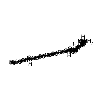 [N-]=[N+]=NCCOCCOCCOCCOCCC(=O)NCCOCCOCCOCCOCCOCCOCCOCCOCCOCCOCCOCCNC(=O)CC[C@H](NC(=O)c1ccc(NCc2cnc3nc(N)[nH]c(=O)c3n2)cc1)C(=O)O